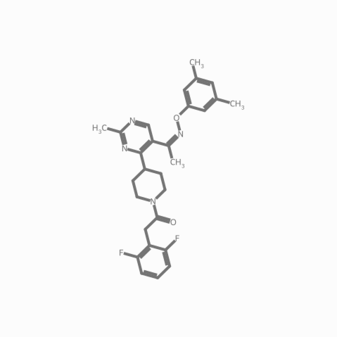 CC(=NOc1cc(C)cc(C)c1)c1cnc(C)nc1C1CCN(C(=O)Cc2c(F)cccc2F)CC1